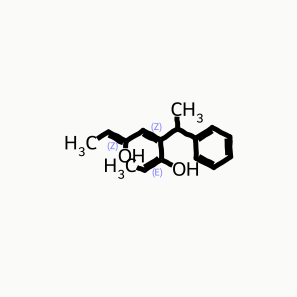 C/C=C(O)/C=C(\C(O)=C/C)C(C)c1ccccc1